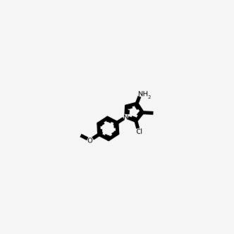 COc1ccc(-n2cc(N)c(C)c2Cl)cc1